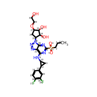 CCCS(=O)(=O)c1nc(NC2CC2c2ccc(F)c(F)c2)c2nnn(C3CC(OCCO)C(O)C3O)c2n1